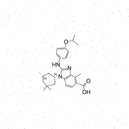 Cc1c(C(=O)O)ccc2c1nc(Nc1ccc(OC(C)C)cc1)n2[C@H]1C[C@@H](C)CC(C)(C)C1